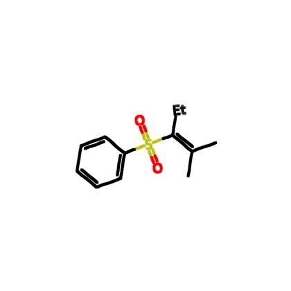 CCC(=C(C)C)S(=O)(=O)c1ccccc1